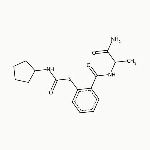 CC(NC(=O)c1ccccc1SC(=O)NC1CCCC1)C(N)=O